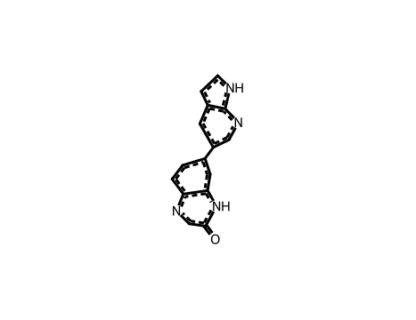 O=c1cnc2ccc(-c3cnc4[nH]ccc4c3)cc2[nH]1